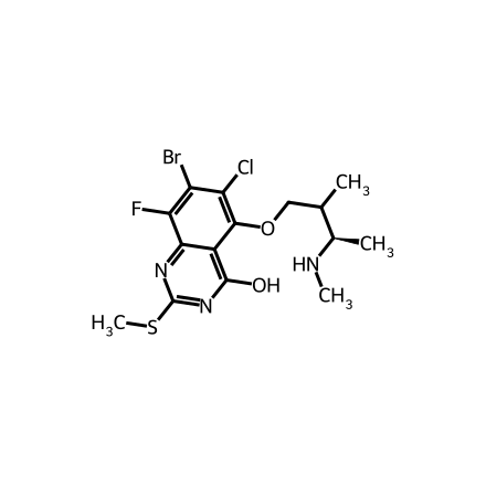 CN[C@H](C)C(C)COc1c(Cl)c(Br)c(F)c2nc(SC)nc(O)c12